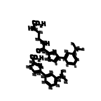 CN(C)c1cccc(-c2csc(C(=O)NCCNC(=O)O)n2)c1.CN(C)c1cccc(-c2csc(C(=O)O)n2)c1